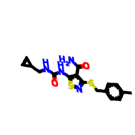 Cc1ccc(CSc2nsc(NC(=O)NCC3CC3)c2C(N)=O)cc1